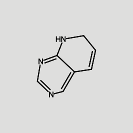 C1=Cc2cncnc2NC1